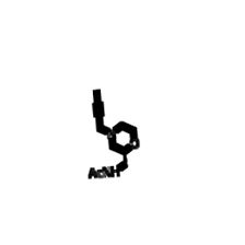 CC#CCN1CCO[C@H](CNC(C)=O)C1